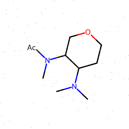 CC(=O)N(C)C1COCCC1N(C)C